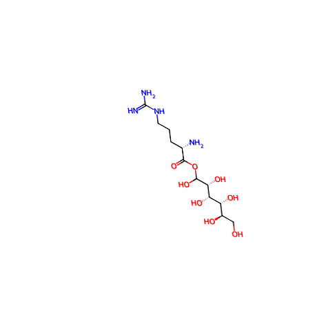 N=C(N)NCCC[C@H](N)C(=O)OC(O)[C@H](O)[C@@H](O)[C@H](O)[C@H](O)CO